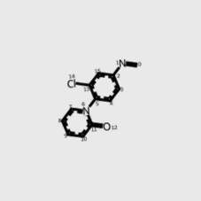 C=Nc1ccc(-n2ccccc2=O)c(Cl)c1